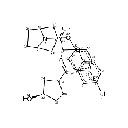 O=C(c1cc(Cl)ccc1OCC(=O)N1C2CCC1CC(Oc1ccc(F)cc1)C2)N1CC[C@@H](O)C1